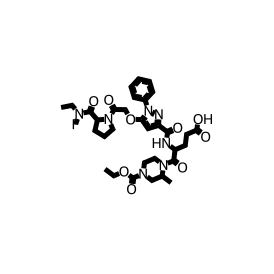 CCOC(=O)N1CCN(C(=O)C(CCC(=O)O)NC(=O)c2cc(OCC(=O)N3CCCC3C(=O)N(F)CC)n(-c3ccccc3)n2)C(C)C1